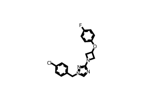 Fc1ccc(OC2CN(c3ncn(Cc4ccc(Cl)cc4)n3)C2)cc1